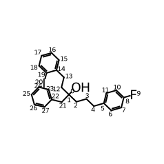 OC(CCCc1ccc(F)cc1)(CCc1ccccc1I)Cc1ccccc1